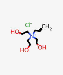 C=CC[N+](CCO)(CCO)CCO.[Cl-]